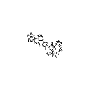 C[C@H](c1ccc2[nH]c([C@H](COC(C)(C)C(F)(F)F)NC(=O)c3nonc3C3CC3)nc2c1)N1CC(F)(F)CNC1=O